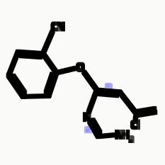 C=C(Cl)/C=C(\N=C/N)Oc1ccccc1C#N